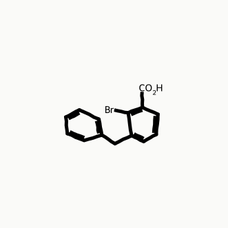 O=C(O)c1cccc(Cc2ccccc2)c1Br